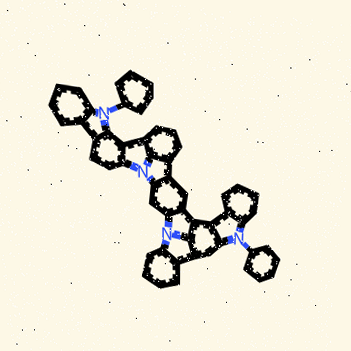 c1ccc(-n2c3ccccc3c3c4c5cc6c7cccc8c9c%10c(ccc9n(c6cc5n5c6ccccc6c(cc32)c45)c78)c2ccccc2n%10-c2ccccc2)cc1